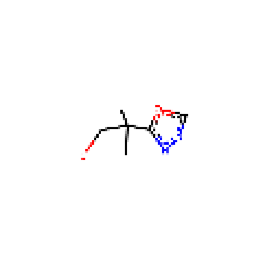 CC(C)(C[O])c1nnco1